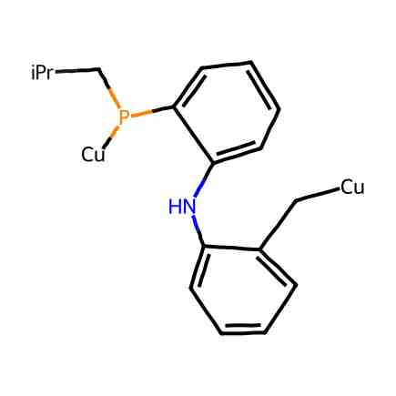 CC(C)C[P]([Cu])c1ccccc1Nc1ccccc1[CH2][Cu]